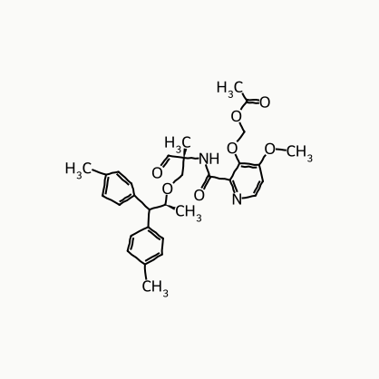 COc1ccnc(C(=O)N[C@@](C)(C=O)CO[C@@H](C)C(c2ccc(C)cc2)c2ccc(C)cc2)c1OCOC(C)=O